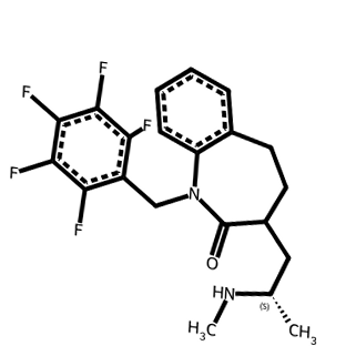 CN[C@@H](C)CC1CCc2ccccc2N(Cc2c(F)c(F)c(F)c(F)c2F)C1=O